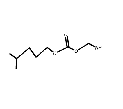 CC(C)CCCOC(=O)OC[NH]